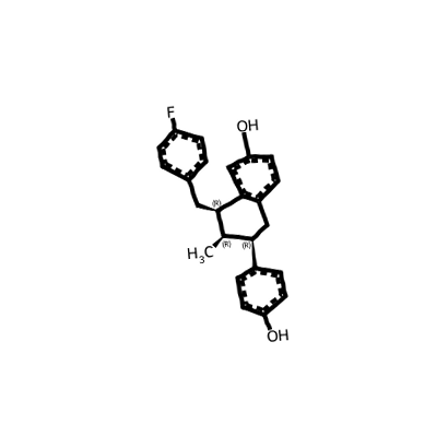 C[C@@H]1[C@H](c2ccc(O)cc2)Cc2ccc(O)cc2[C@@H]1Cc1ccc(F)cc1